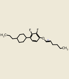 CCCC/C=C/Oc1ccc(C2CCC(CCC)CC2)c(F)c1F